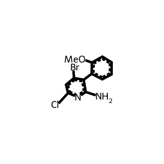 COc1ccccc1-c1c(Br)cc(Cl)nc1N